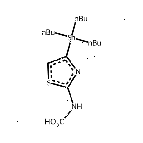 CCC[CH2][Sn]([CH2]CCC)([CH2]CCC)[c]1csc(NC(=O)O)n1